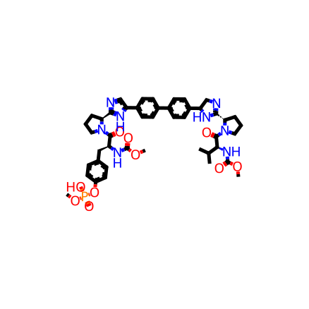 COC(=O)N[C@@H](Cc1ccc(OP(=O)(O)OC)cc1)C(=O)N1CCC[C@H]1c1ncc(-c2ccc(-c3ccc(C4CN=C([C@@H]5CCCN5C(=O)[C@@H](NC(=O)OC)C(C)C)N4)cc3)cc2)[nH]1